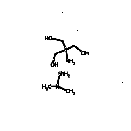 C[N](C)[SbH2].NC(CO)(CO)CO